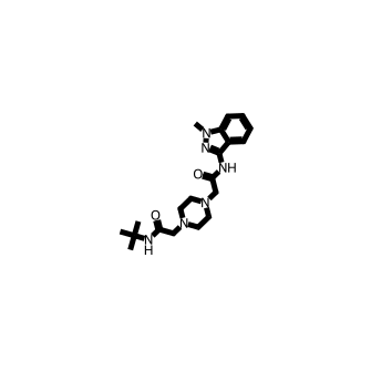 Cn1nc(NC(=O)CN2CCN(CC(=O)NC(C)(C)C)CC2)c2ccccc21